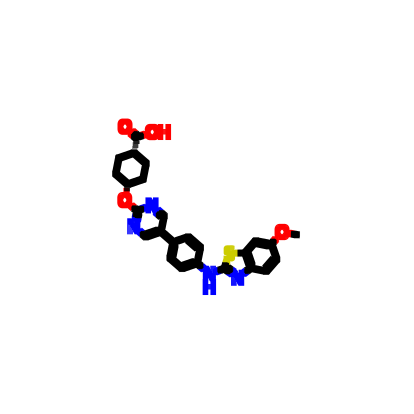 COc1ccc2nc(Nc3ccc(-c4cnc(O[C@H]5CC[C@@H](C(=O)O)CC5)nc4)cc3)sc2c1